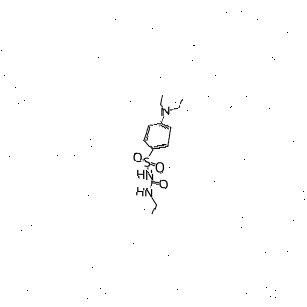 CCNC(=O)NS(=O)(=O)c1ccc(N(CC)CC)cc1